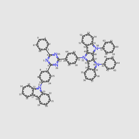 c1ccc(-c2nc(-c3ccc(-n4c5ccccc5c5ccccc54)cc3)nc(-c3ccc(-n4c5c6ccccc6n(-c6ccccc6)c5c5c4c4ccccc4n5-c4ccccc4)cc3)n2)cc1